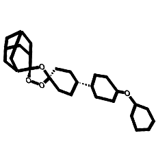 C1CCC(OC2CCC([C@H]3CC[C@]4(CC3)OO[C@]3(O4)C4CC5CC(C4)CC3C5)CC2)CC1